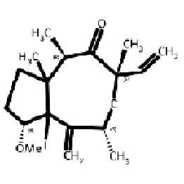 C=C[C@]1(C)C[C@H](C)C(=C)C2(I)[C@H](OC)CCC2(C)[C@@H](C)C1=O